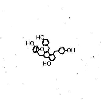 Oc1ccc(Cc2cc3c(O)ccc(Cc4ccc(O)cc4)c3c(Cc3ccc(O)cc3)c2O)cc1